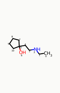 CCNCCC1(O)CCCC1